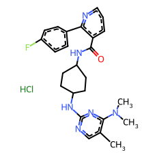 Cc1cnc(NC2CCC(NC(=O)c3cccnc3-c3ccc(F)cc3)CC2)nc1N(C)C.Cl